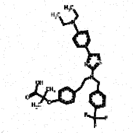 CCN(CC)c1ccc(-c2csc(N(CCc3ccc(OC(C)(C)C(=O)O)cc3)Cc3ccc(C(F)(F)F)cc3)n2)cc1